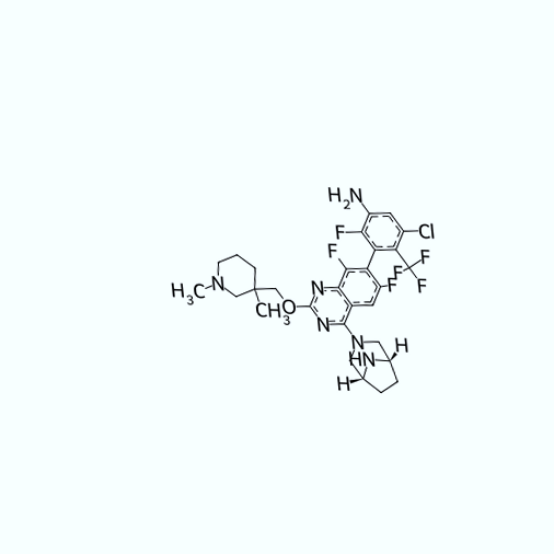 CN1CCCC(C)(COc2nc(N3C[C@H]4CC[C@@H](C3)N4)c3cc(F)c(-c4c(F)c(N)cc(Cl)c4C(F)(F)F)c(F)c3n2)C1